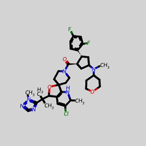 CC1NC2=C(C=C1Cl)C(C(C)(C)c1ncnn1C)OC21CCN(C(=O)[C@@H]2CC(N(C)C3CCOCC3)C[C@H]2c2ccc(F)cc2F)CC1